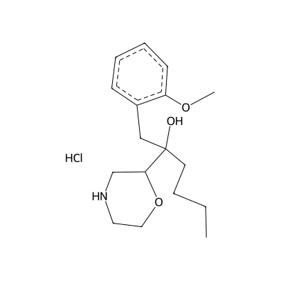 CCCCC(O)(Cc1ccccc1OC)C1CNCCO1.Cl